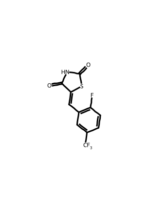 O=C1NC(=O)C(=Cc2cc(C(F)(F)F)ccc2F)S1